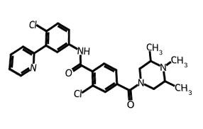 CC1CN(C(=O)c2ccc(C(=O)Nc3ccc(Cl)c(-c4ccccn4)c3)c(Cl)c2)CC(C)N1C